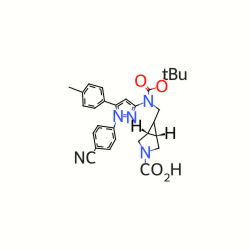 Cc1ccc(-c2cc(N(CC3[C@H]4CN(C(=O)O)C[C@@H]34)C(=O)OC(C)(C)C)nn2-c2ccc(C#N)cc2)cc1